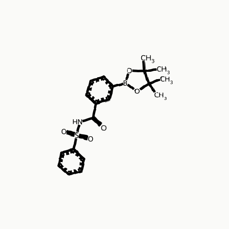 CC1(C)OB(c2cccc(C(=O)NS(=O)(=O)c3ccccc3)c2)OC1(C)C